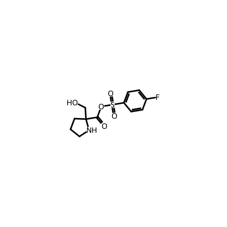 O=C(OS(=O)(=O)c1ccc(F)cc1)C1(CO)CCCN1